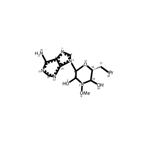 CON1C(O)C(n2cnc3c(N)ncnc32)O[C@H](CC(C)C)C1O